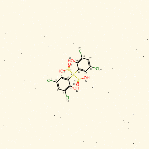 O=S(O)S(c1cc(Cl)cc(Cl)c1O)(c1cc(Cl)cc(Cl)c1O)S(=O)O